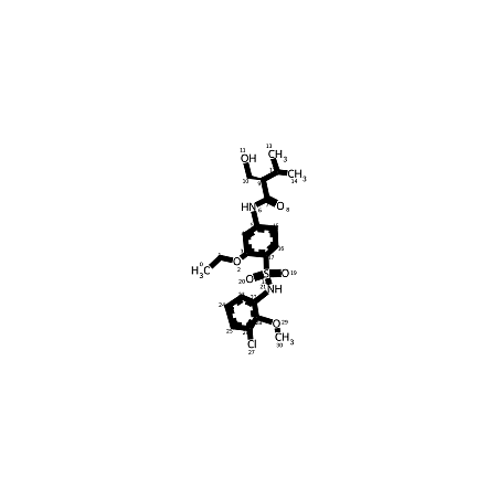 CCOc1cc(NC(=O)[C@@H](CO)C(C)C)ccc1S(=O)(=O)Nc1cccc(Cl)c1OC